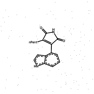 CCCCCC1=C(c2cccc3[nH]ccc23)C(=O)NC1=O